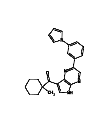 CC1(C(=O)c2c[nH]c3ncc(-c4cccc(-n5cccc5)c4)nc23)CCCCC1